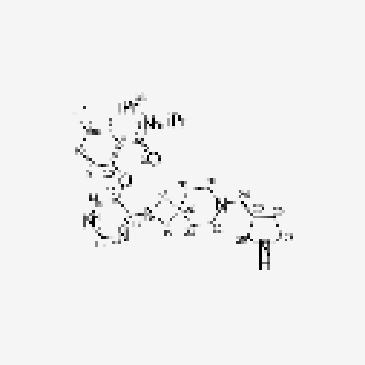 CC(C)N(C(=O)c1cc(F)ccc1Oc1cncnc1N1CC2(CCN(C[C@H]3CCNC3)CC2)C1)C(C)C